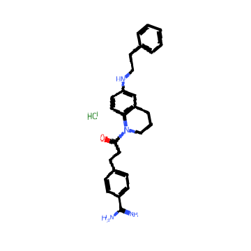 Cl.N=C(N)c1ccc(CCC(=O)N2CCCc3cc(NCCc4ccccc4)ccc32)cc1